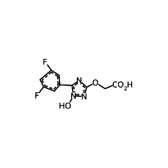 O=C(O)COc1nc(-c2cc(F)cc(F)c2)n(O)n1